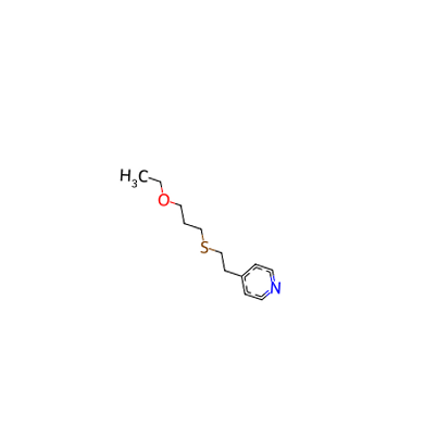 CCOCCCSCCc1ccncc1